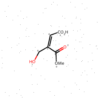 COC(=O)/C(=C\C(=O)O)CO